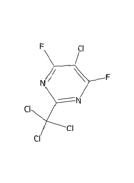 Fc1nc(C(Cl)(Cl)Cl)nc(F)c1Cl